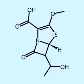 COC1=C(C(=O)O)N2C(=O)C(C(C)O)[C@H]2S1